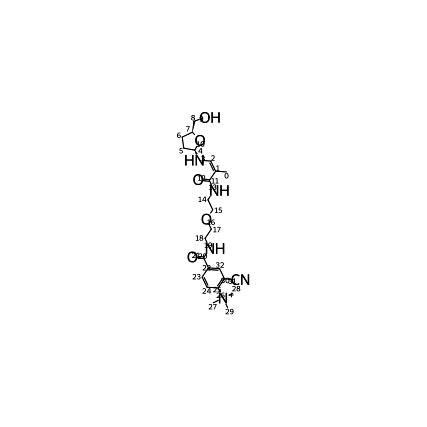 C/C(=C/N[C@H]1CC[C@@H](CO)O1)C(=O)NCCOCCNC(=O)c1ccc([N+](C)(C)C)c(C#N)c1